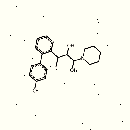 CC(c1ccccc1-c1ccc(C(F)(F)F)cc1)C(O)C(O)N1CCCCC1